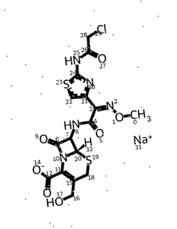 CO/N=C(\C(=O)NC1C(=O)N2C(C(=O)[O-])=C(CO)CS[C@@H]12)c1csc(NC(=O)CCl)n1.[Na+]